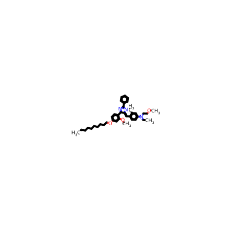 CCCCCCCCCCOc1ccc(C2=NC(c3ccccc3)=N/C2=C\c2ccc(N(CC)CCOC)cc2C)c(OC)c1